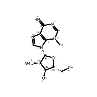 CO[C@@H]1[C@H](O)[C@@H](CO)O[C@H]1n1cnc2c(=N)ncn(C)c21